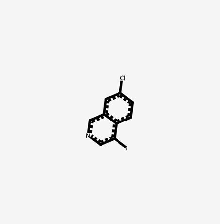 Clc1ccc2c(I)cncc2c1